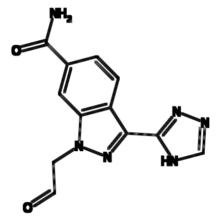 NC(=O)c1ccc2c(-c3nnc[nH]3)nn(CC=O)c2c1